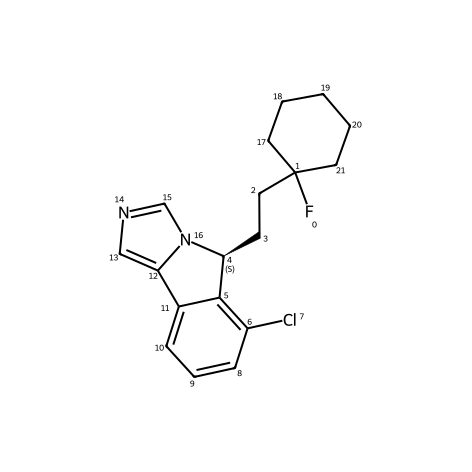 FC1(CC[C@H]2c3c(Cl)cccc3-c3cncn32)CCCCC1